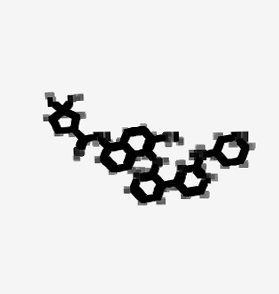 Cc1ccc2c(NC(=O)[C@H]3CCC(F)(F)C3)cccc2c1Oc1ncccc1-c1ccnc(NC2CCCNC2)n1